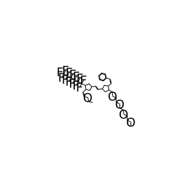 CCO/C=C\C1CC(/C=C/C2CC(/C=C\c3ccccc3)C(COCCOCCOCCOC)C2)CC1C(F)(F)C(F)(F)C(F)(F)C(F)(F)C(F)(F)C(F)(F)F